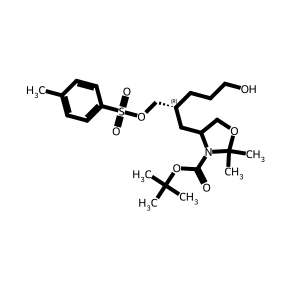 Cc1ccc(S(=O)(=O)OC[C@H](CCCO)CC2COC(C)(C)N2C(=O)OC(C)(C)C)cc1